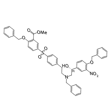 COC(=O)c1cc(S(=O)(=O)c2ccc(CCN(Cc3ccccc3)C[C@H](O)c3ccc(OCc4ccccc4)c([N+](=O)[O-])c3)cc2)ccc1OCc1ccccc1